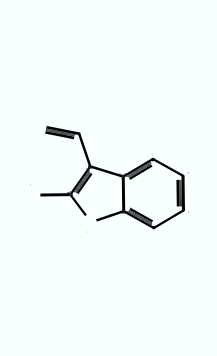 C=Cc1c(CC)sc2ccccc12